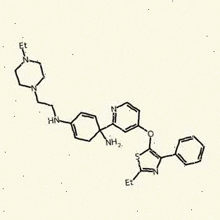 CCc1nc(-c2ccccc2)c(Oc2ccnc(C3(N)C=CC(NCCN4CCN(CC)CC4)=CC3)c2)s1